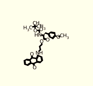 COc1ccc(C[C@H](NC(=O)OC(C)(C)C)C(=O)OCCCNc2cccc3c2C(=O)c2ccccc2C3=O)cc1